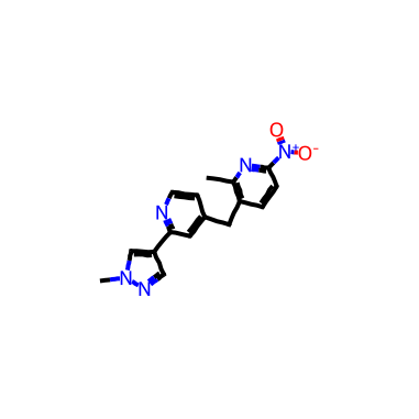 Cc1nc([N+](=O)[O-])ccc1Cc1ccnc(-c2cnn(C)c2)c1